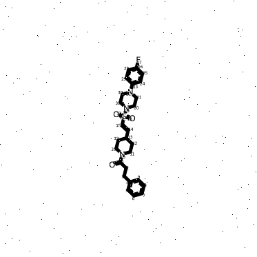 O=C(CCc1ccccc1)N1CCC(/C=C/S(=O)(=O)N2CCN(c3ccc(F)cc3)CC2)CC1